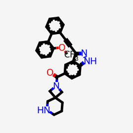 O=C(c1ccc2[nH]nc(C#Cc3ccccc3-c3ccccc3OC(F)(F)F)c2c1)N1CC2(CCCNC2)C1